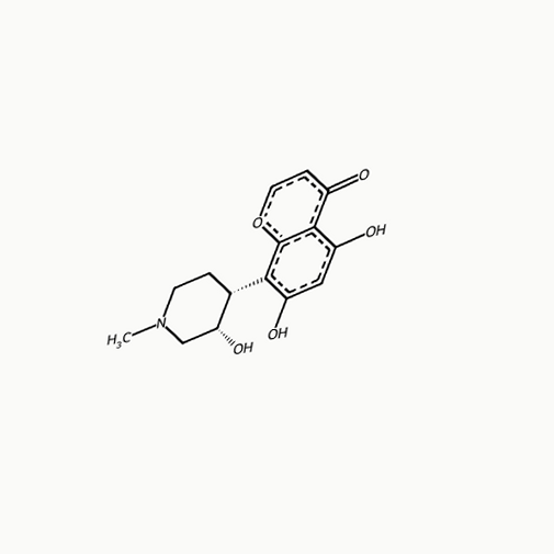 CN1CC[C@H](c2c(O)cc(O)c3c(=O)ccoc23)[C@H](O)C1